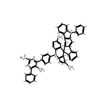 Cc1ccc2c(c1)C1(c3ccccc3-c3cc4c(cc31)c1ccccc1n4-c1ccccc1)c1cc(C)ccc1N2c1ccc(-c2nc(C)nc(-c3ccccc3)c2C)cc1